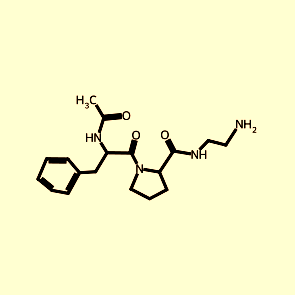 CC(=O)NC(Cc1ccccc1)C(=O)N1CCCC1C(=O)NCCN